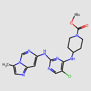 Cc1cnc2cc(Nc3ncc(Cl)c(NC4CCN(C(=O)OC(C)(C)C)CC4)n3)ncn12